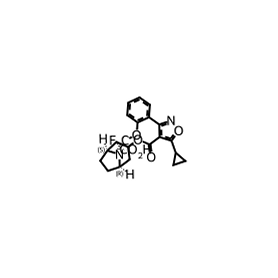 O=C(OC1C[C@H]2CC[C@@H](C1)N2C(=O)O)c1c(-c2ccccc2OC(F)(F)F)noc1C1CC1